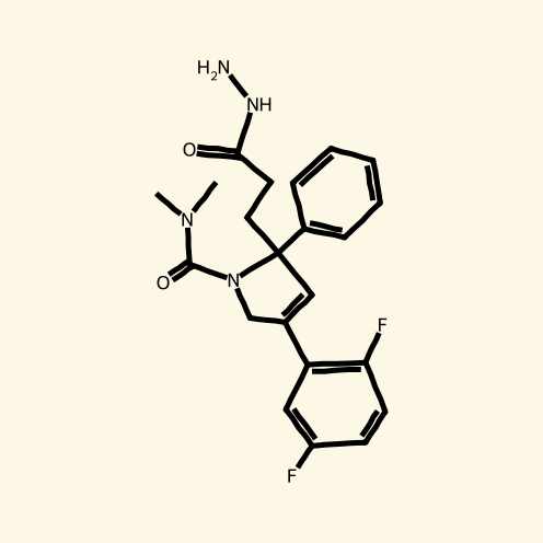 CN(C)C(=O)N1CC(c2cc(F)ccc2F)=CC1(CCC(=O)NN)c1ccccc1